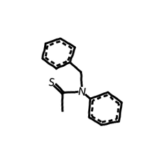 CC(=S)N(Cc1ccccc1)c1ccccc1